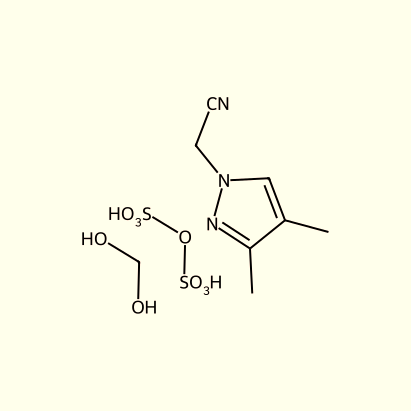 Cc1cn(CC#N)nc1C.O=S(=O)(O)OS(=O)(=O)O.OCO